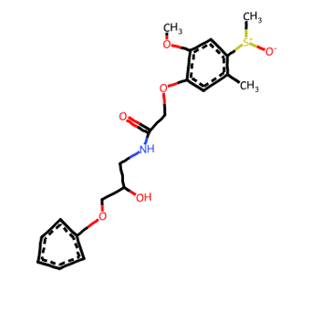 COc1cc([S+](C)[O-])c(C)cc1OCC(=O)NCC(O)COc1ccccc1